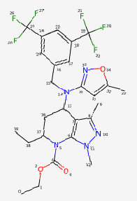 CCOC(=O)N1c2c(c(C)nn2C)C(N(Cc2cc(C(F)(F)F)cc(C(F)(F)F)c2)c2cc(C)on2)CC1CC